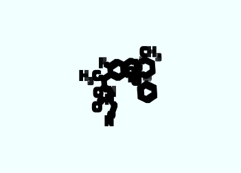 CC(c1nn(CC#N)c(=O)o1)c1cc(F)c(CN2[C@@H](C)CC[C@H](c3ccccc3)S2(=O)=O)cc1F